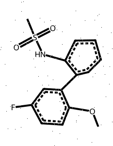 COc1ccc(F)cc1-c1ccccc1NS(C)(=O)=O